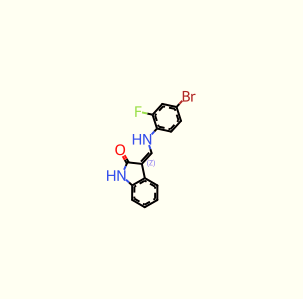 O=C1Nc2ccccc2/C1=C/Nc1ccc(Br)cc1F